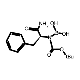 CC(C)(C)OC(=O)N(B(O)O)[C@@H](Cc1ccccc1)C(N)=O